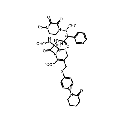 CCN1CCN(N(C=O)[C@@H](C(=O)N[C@]2(NC=O)C(=O)N3C(C(=O)[O-])=C(CSc4cc[n+](N5CCCCC5=O)cc4)CS[C@@H]32)c2ccccc2)C(=O)C1=O